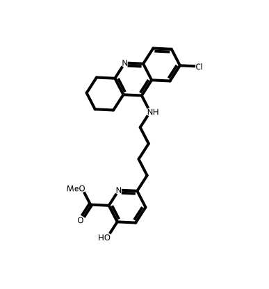 COC(=O)c1nc(CCCCNc2c3c(nc4ccc(Cl)cc24)CCCC3)ccc1O